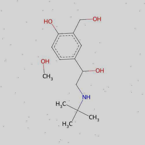 CC(C)(C)NCC(O)c1ccc(O)c(CO)c1.CO